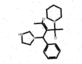 CC/C(C)=C(/C(c1ccccc1)N1CCNC1)C(C)(Cl)N1CCCCC1